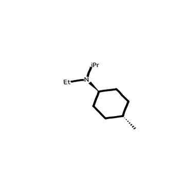 CCN(C(C)C)[C@H]1CC[C@H](C)CC1